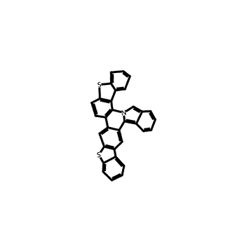 c1ccc2c(c1)cn1c2c2cc3c(cc2c2ccc4sc5ccccc5c4c21)sc1ccccc13